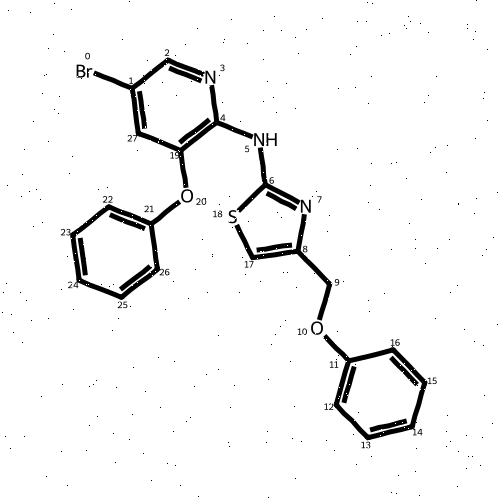 Brc1cnc(Nc2nc(COc3ccccc3)cs2)c(Oc2ccccc2)c1